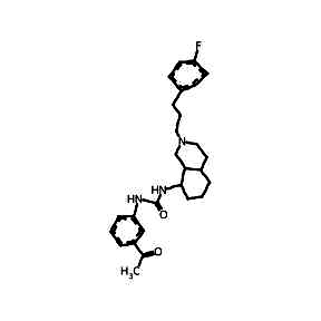 CC(=O)c1cccc(NC(=O)NC2CCCC3CCN(CCCc4ccc(F)cc4)CC32)c1